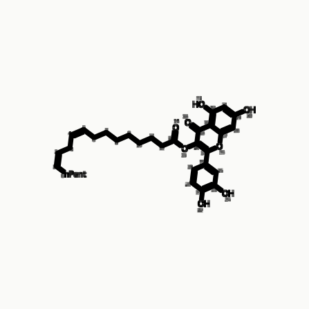 CCCCC/C=C\C/C=C\CCCCCCCC(=O)Oc1c(-c2ccc(O)c(O)c2)oc2cc(O)cc(O)c2c1=O